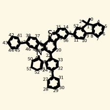 CC1(C)c2ccccc2-c2ccc(-c3ccc4sc5c(cc(-c6ccc(-c7ccccc7)cc6)c6c5c5ccc(-c7ccccc7)cc5n6C5=CCCC=C5)c4c3)cc21